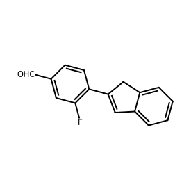 O=Cc1ccc(C2=Cc3ccccc3C2)c(F)c1